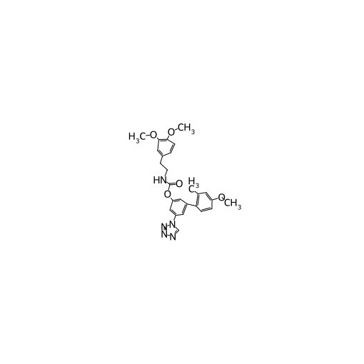 COc1ccc(-c2cc(OC(=O)NCCc3ccc(OC)c(OC)c3)cc(-n3cnnn3)c2)c(C)c1